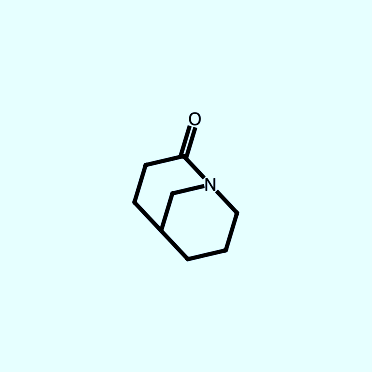 O=C1CCC2CCCN1C2